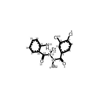 CCC(C)N(C(=O)c1ccc(Cl)c(Cl)c1)N(CC)C(=O)c1ccccc1N